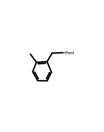 CCCCCCc1[c]cccc1C